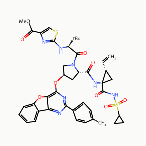 C=C[C@@H]1C[C@]1(NC(=O)[C@@H]1C[C@@H](Oc2nc(-c3ccc(C(F)(F)F)cc3)nc3c2oc2ccccc23)CN1C(=O)[C@@H](Nc1nc(C(=O)OC)cs1)C(C)(C)C)C(=O)NS(=O)(=O)C1CC1